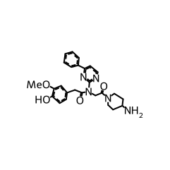 COc1cc(CC(=O)N(CC(=O)N2CCC(N)CC2)c2nccc(-c3ccccc3)n2)ccc1O